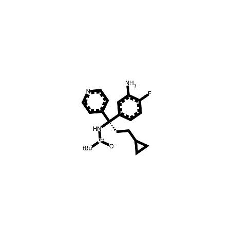 CC(C)(C)[S+]([O-])N[C@@](CCC1CC1)(c1ccncc1)c1ccc(F)c(N)c1